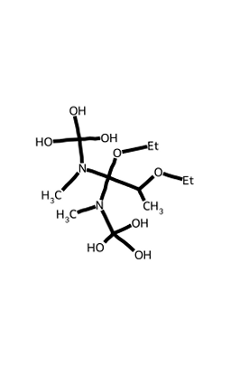 CCOC(C)C(OCC)(N(C)C(O)(O)O)N(C)C(O)(O)O